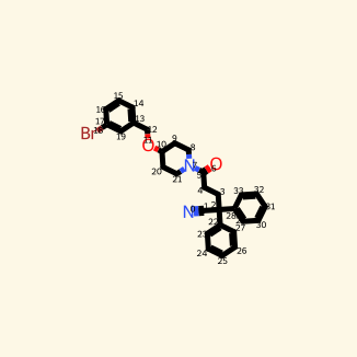 N#CC(CCC(=O)N1CCC(OCc2cccc(Br)c2)CC1)(c1ccccc1)c1ccccc1